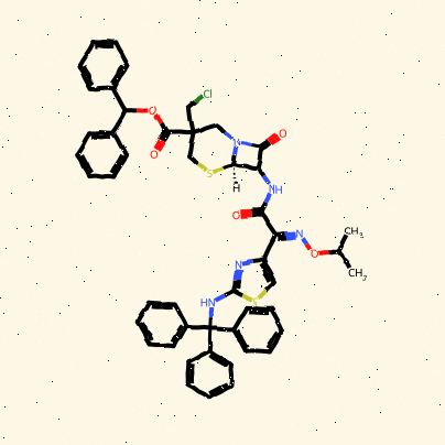 CC(C)ON=C(C(=O)NC1C(=O)N2CC(CCl)(C(=O)OC(c3ccccc3)c3ccccc3)CS[C@H]12)c1csc(NC(c2ccccc2)(c2ccccc2)c2ccccc2)n1